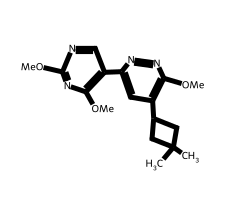 COc1ncc(-c2cc(C3CC(C)(C)C3)c(OC)nn2)c(OC)n1